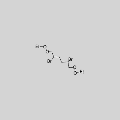 CCOOCC(Br)CCC(Br)COOCC